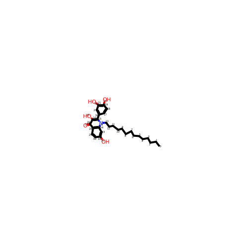 CCCCCCCCCCCCCCn1c(-c2ccc(O)c(O)c2)c(O)c(=O)c2ccc(O)cc21